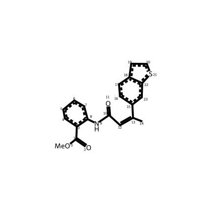 COC(=O)c1ccccc1NC(=O)/C=C(/C)c1ccc2ccsc2c1